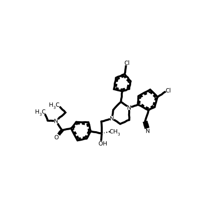 CCN(CC)C(=O)c1ccc([C@](C)(O)CN2CCN(c3ccc(Cl)cc3C#N)C(c3ccc(Cl)cc3)C2)cc1